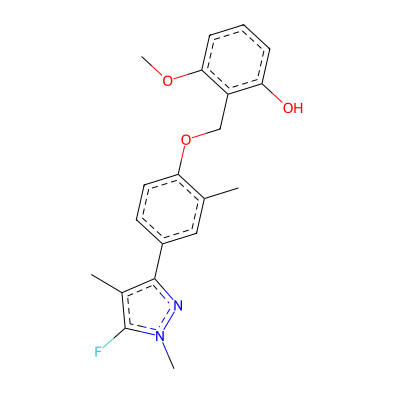 COc1cccc(O)c1COc1ccc(-c2nn(C)c(F)c2C)cc1C